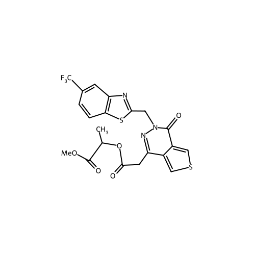 COC(=O)C(C)OC(=O)Cc1nn(Cc2nc3cc(C(F)(F)F)ccc3s2)c(=O)c2cscc12